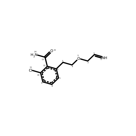 N=[C]COCCc1cccc(Cl)c1C(N)=O